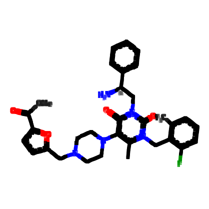 COC(=O)c1ccc(CN2CCN(c3c(C)n(Cc4c(F)cccc4C(F)(F)F)c(=O)n(C[C@@H](N)c4ccccc4)c3=O)CC2)o1